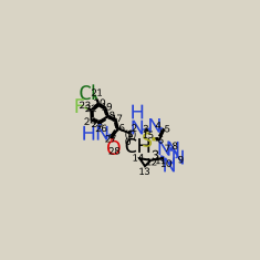 C[C@H](Nc1ncc(-n2nnnc2C2CC2)s1)c1cc2cc(Cl)c(F)cc2[nH]c1=O